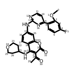 COc1cc(F)ccc1-c1ccnc(Nc2ccc3c(NC4CCOCC4)c(C(C)=O)c(=O)oc3c2)n1